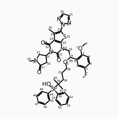 COc1ccc(F)cc1[C@H](Cn1c(=O)n(C2CC(=O)N(C)C2)c(=O)c2c(C)c(-n3nccn3)sc21)OCCCC(C)(C)[Si](O)(c1ccccc1)c1ccccc1